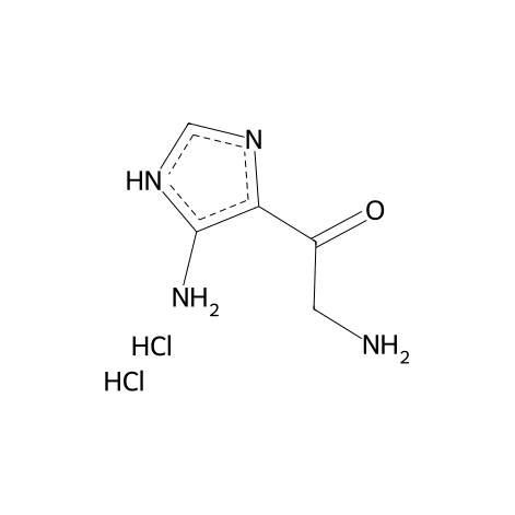 Cl.Cl.NCC(=O)c1nc[nH]c1N